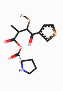 CC(=O)SC(C(=O)c1ccsc1)C(C)C(=O)OC(=O)[C@@H]1CCCN1